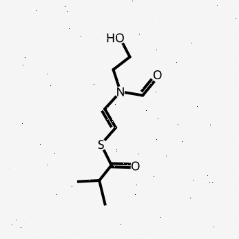 CC(C)C(=O)SC=CN(C=O)CCO